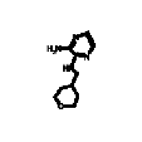 Nc1nccnc1NCC1CCOCC1